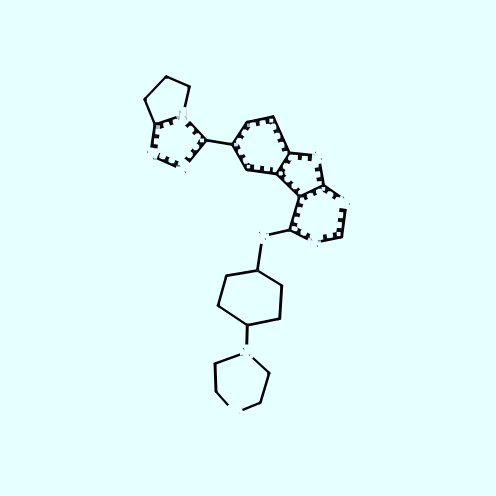 c1nc(NC2CCC(N3CCOCC3)CC2)c2c(n1)[nH]c1ccc(-c3nnc4n3CCC4)cc12